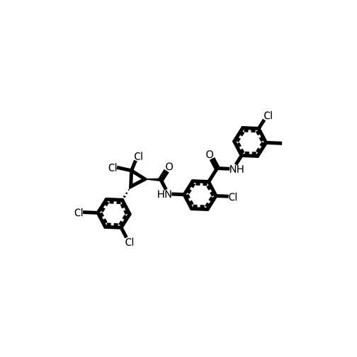 Cc1cc(NC(=O)c2cc(NC(=O)[C@H]3[C@H](c4cc(Cl)cc(Cl)c4)C3(Cl)Cl)ccc2Cl)ccc1Cl